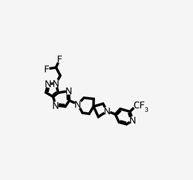 FC(F)Cn1ncc2ncc(N3CCC4(CC3)CN(c3ccnc(C(F)(F)F)c3)C4)nc21